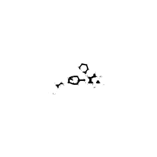 CCCn1c(=O)c2c(nc(C34CC5OC(C3)C(O4)C5OCC(=O)OC(C)(C)C)n2C2CCCCO2)n(CCC)c1=O